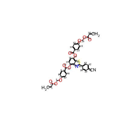 C=CC(=O)OCOc1ccc(C(=O)Oc2ccc(OC(=O)c3ccc(OCOC(=O)C=C)cc3)c3sc(-c4ccc(C#N)cc4)nc23)cc1